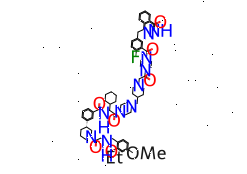 CCOc1cc(OC)ccc1CNCC(=O)N1CCC[C@H](c2cccc(C(=O)N[C@@H](C(=O)N3CCN(CC4CCN(CC(=O)N5CCN(C(=O)c6cc(Cc7n[nH]c(=O)c8ccccc78)ccc6F)CC5)CC4)CC3)C3CCCCC3)c2)C1